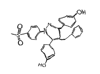 CS(=O)(=O)c1ccc(-n2nc(-c3ccc(O)cc3)c(Cc3ccccc3)c2-c2ccc(O)cc2)cc1